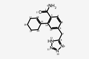 NC(=O)c1ccc(Cc2nnn[nH]2)cc1C1=CCCCC1